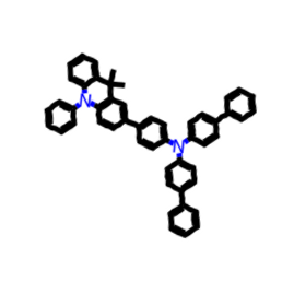 CC1(C)c2ccccc2N(c2ccccc2)c2ccc(-c3ccc(N(c4ccc(-c5ccccc5)cc4)c4ccc(-c5ccccc5)cc4)cc3)cc21